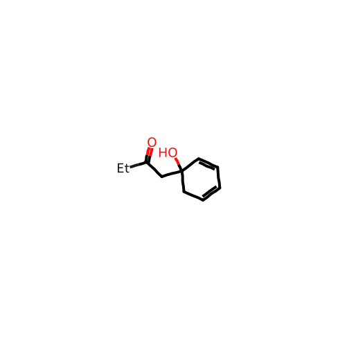 CCC(=O)CC1(O)C=CC=CC1